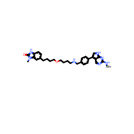 CCCCNc1ncc2c(-c3ccc(CNCCCCOCCCCc4ccc5[nH]c(=O)n(C)c5c4)cc3)c[nH]c2n1